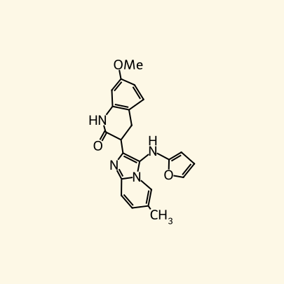 COc1ccc2c(c1)NC(=O)C(c1nc3ccc(C)cn3c1Nc1ccco1)C2